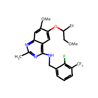 CCC(COC)Oc1cc2c(NCc3cccc(C(F)(F)F)c3F)nc(C)nc2cc1OC